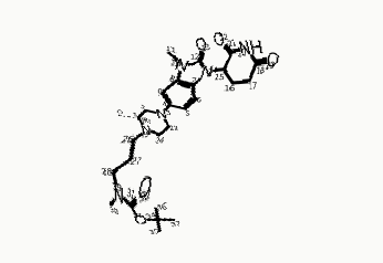 C[C@@H]1CN(c2ccc3c(c2)n(C)c(=O)n3C2CCC(=O)NC2=O)CCN1CCCN(C)C(=O)OC(C)(C)C